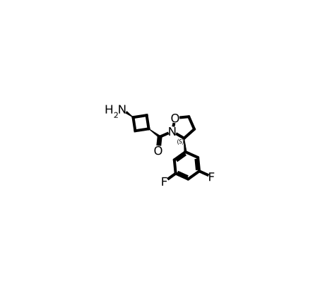 N[C@H]1C[C@@H](C(=O)N2OCC[C@H]2c2cc(F)cc(F)c2)C1